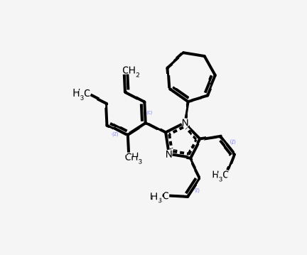 C=C/C=C(\C(C)=C/CC)c1nc(/C=C\C)c(/C=C\C)n1C1=CCCCC=C1